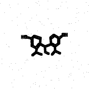 CCC(c1ccc(O)cc1C(C)C)c1ccc(O)cc1C(C)C